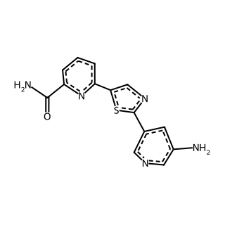 NC(=O)c1cccc(-c2cnc(-c3cncc(N)c3)s2)n1